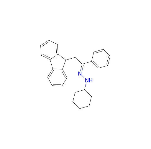 c1ccc(C(CC2c3ccccc3-c3ccccc32)=NNC2CCCCC2)cc1